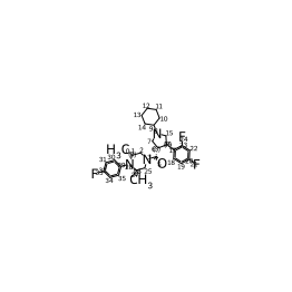 C[C@@H]1CN(C(=O)[C@@H]2CN(C3CCCCC3)C[C@H]2c2ccc(F)cc2F)C[C@H](C)N1c1ccc(F)cc1